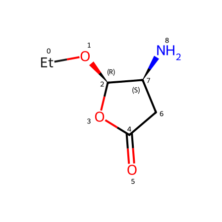 CCO[C@@H]1OC(=O)C[C@@H]1N